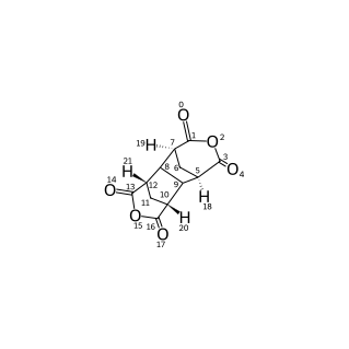 O=C1OC(=O)[C@@H]2C[C@H]1C1C2[C@H]2C[C@@H]1C(=O)OC2=O